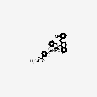 CCOC(=O)c1cccc(NC(=O)NCC(=O)N(Cc2ccccc2)C2c3ccccc3CCC2Cc2ccccc2Cl)c1